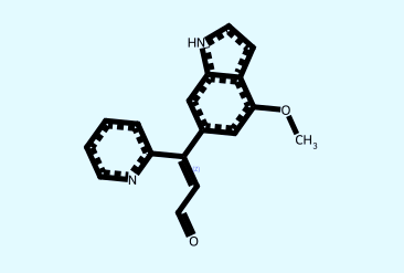 COc1cc(/C(=C/C=O)c2ccccn2)cc2[nH]ccc12